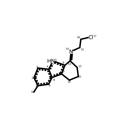 Cc1ccc2[nH]c3c(c2c1)CCC/C3=N\CCCl